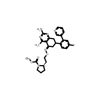 Cc1nc(N)nc2c1/C(=N/OCC[C@H]1CCCN1C(=O)OC(C)(C)C)CC(c1ccc(F)cc1-c1cccnc1)C2